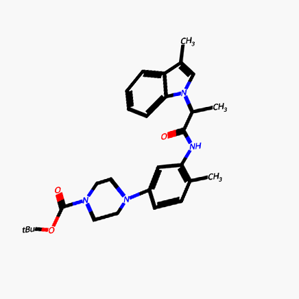 Cc1ccc(N2CCN(C(=O)OC(C)(C)C)CC2)cc1NC(=O)C(C)n1cc(C)c2ccccc21